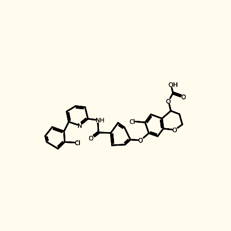 O=C(O)OC1CCOc2cc(Oc3ccc(C(=O)Nc4cccc(-c5ccccc5Cl)n4)cc3)c(Cl)cc21